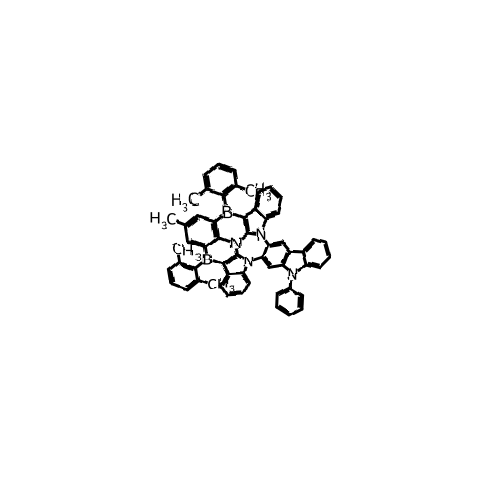 Cc1cc2c3c(c1)B(c1c(C)cccc1C)c1c4ccccc4n4c5cc6c(cc5n5c7ccccc7c(c5n-3c14)B2c1c(C)cccc1C)c1ccccc1n6-c1ccccc1